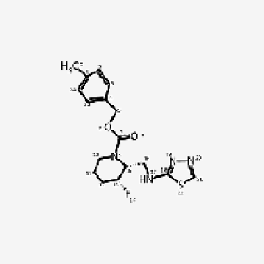 Cc1ccc(COC(=O)N2CCC[C@@H](F)[C@H]2CNc2nncs2)cc1